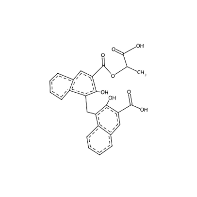 CC(OC(=O)c1cc2ccccc2c(Cc2c(O)c(C(=O)O)cc3ccccc23)c1O)C(=O)O